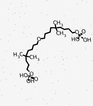 CC(C)(CCCCOCCCCC(C)(C)CCCOP(=O)(O)O)CCCCOP(=O)(O)O